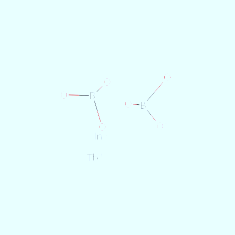 [In+3].[O-]B([O-])[O-].[O-]B([O-])[O-].[Tb+3]